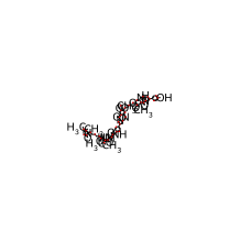 COc1cc2c(cc1OCCCOc1cc3c(cc1OC)C(=O)N1C=C(c4ccc(O)cc4)C[C@H]1C=N3)N=CC1CC(c3ccc(NC(=O)CNC(=O)C(NC(=O)CCCCCN4C(=O)CC5C(C)C54C)C(C)C)cc3)=CN1C2=O